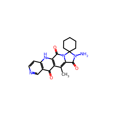 Cc1c2n(c(=O)c3[nH]c4ccncc4c(=O)c13)C1(CCCCC1)N(N)C2=O